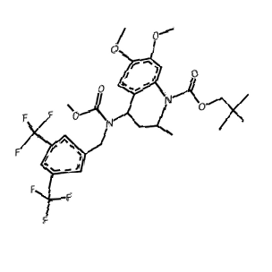 COC(=O)N(Cc1cc(C(F)(F)F)cc(C(F)(F)F)c1)C1CC(C)N(C(=O)OCC(C)(C)C)c2cc(OC)c(OC)cc21